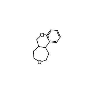 CCC1CCOCCC1c1ccccc1